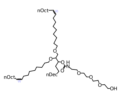 CCCCCCCC/C=C\CCCCCCCCOCC(OCCCCCCCC/C=C\CCCCCCCC)C(CCCCCCCCCCCC)OC(=O)NCCOCCOCCOCCO